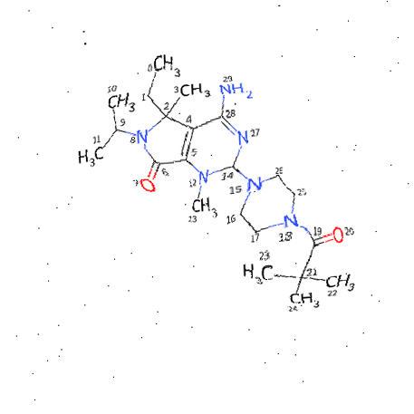 CCC1(C)C2=C(C(=O)N1C(C)C)N(C)C(N1CCN(C(=O)C(C)(C)C)CC1)N=C2N